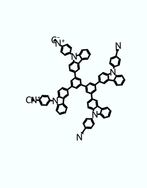 [C-]#[N+]c1ccc(-n2c3ccccc3c3cc(-c4cc(-c5cc(-c6ccc7c(c6)c6ccccc6n7-c6ccc(C#N)cc6)cc(-c6ccc7c(c6)c6ccccc6n7-c6ccc(C#N)cc6)c5)cc(-c5ccc6c(c5)c5ccccc5n6-c5ccc([N+]#[C-])cc5)c4)ccc32)cc1